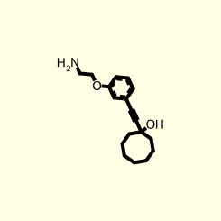 NCCOc1cccc(C#CC2(O)CCCCCCC2)c1